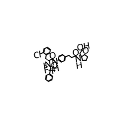 O=C(O)CC1(NC(=O)CCc2ccc(NC(=O)[C@H](Cc3ccccc3Cl)N(I)C(=O)C(F)(F)c3ccccc3)cc2)CCCC1